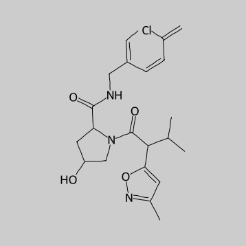 C=C(Cl)/C=C\C(=C/C)CNC(=O)C1CC(O)CN1C(=O)C(c1cc(C)no1)C(C)C